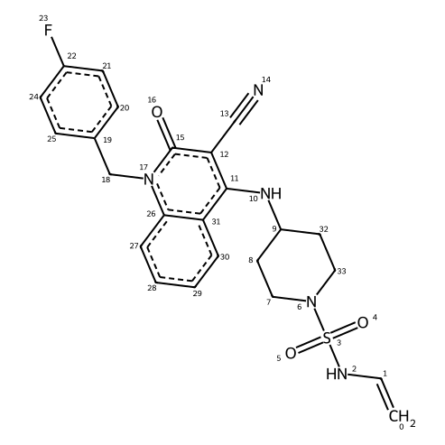 C=CNS(=O)(=O)N1CCC(Nc2c(C#N)c(=O)n(Cc3ccc(F)cc3)c3ccccc23)CC1